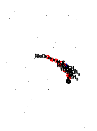 COCCOCCOCCOCCC(=O)O[C@H]1CC[C@]2(C)[C@H]3C(=O)C=C4[C@@H]5C[C@@](C)(C(=O)OCc6ccccc6)CC[C@]5(C)CC[C@@]4(C)[C@]3(C)CC[C@]23N=C[C@]13C